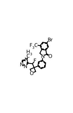 Cn1cnnc1C(F)C1(c2cccc(N3Cc4c(cc(Br)cc4C(F)(F)F)C3=O)c2)COC1